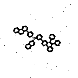 c1ccc(-c2c(-c3ccccc3)c3cc(-c4cccc(N(c5ccc(-c6cccc7c6ccc6ccccc67)cc5)c5ccc6ccccc6c5)c4)ccc3c3ccccc23)cc1